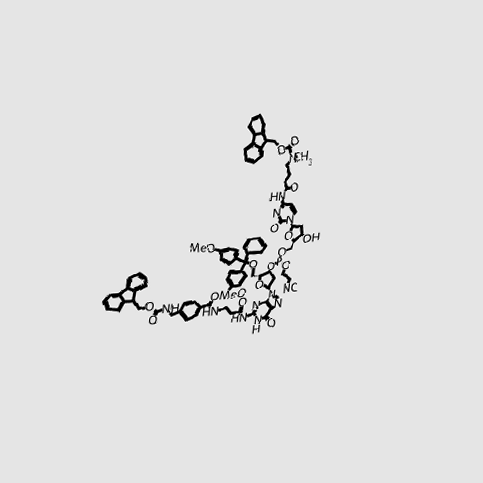 [C-]#[N+]CCOP(OC[C@H]1O[C@@H](n2ccc(NC(=O)CCCN(C)C(=O)OCC3c4ccccc4-c4ccccc43)nc2=O)CC1O)OC1C[C@H](n2cnc3c(=O)[nH]c(NC(=O)CCNC(=O)c4ccc(CNC(=O)OCC5c6ccccc6-c6ccccc65)cc4)nc32)O[C@@H]1COC(c1ccccc1)(c1ccc(OC)cc1)c1ccc(OC)cc1